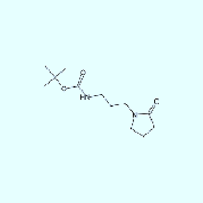 CC(C)(C)OC(=O)NCCCN1CCCC1=O